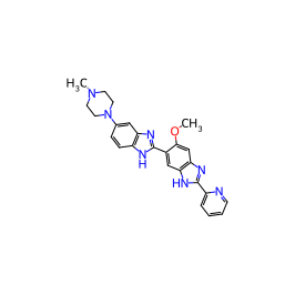 COc1cc2nc(-c3ccccn3)[nH]c2cc1-c1nc2cc(N3CCN(C)CC3)ccc2[nH]1